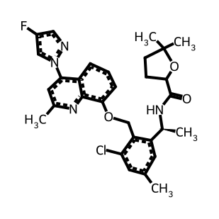 Cc1cc(Cl)c(COc2cccc3c(-n4cc(F)cn4)cc(C)nc23)c([C@H](C)NC(=O)C2CCC(C)(C)O2)c1